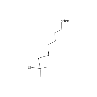 [CH2]CC(C)(C)CCCCCCCCCCCC